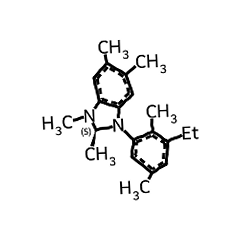 CCc1cc(C)cc(N2c3cc(C)c(C)cc3N(C)[C@@H]2C)c1C